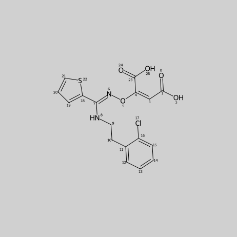 O=C(O)C=C(ON=C(NCCc1ccccc1Cl)c1cccs1)C(=O)O